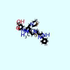 CC(C)(Cc1ncc(-c2c[nH]c(-c3ccccc3)n2)s1)c1cc(CN2CCSCC2)cc(N[C@H]2CC[C@H](CO)OC2)n1